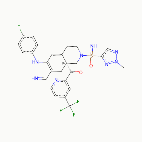 Cn1ncc(S(=N)(=O)N2CCC3=CC(Nc4ccc(F)cc4)=C(C=N)C[C@]3(C(=O)c3cc(C(F)(F)F)ccn3)C2)n1